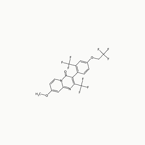 COc1ccn2c(=O)c(-c3ccc(OCC(F)(F)F)cc3C(F)(F)F)c(C(F)(F)F)nc2c1